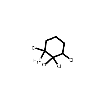 CC1(Cl)CCCC(Cl)C1(Cl)Cl